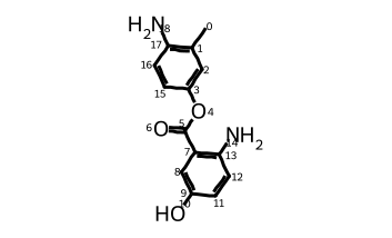 Cc1cc(OC(=O)c2cc(O)ccc2N)ccc1N